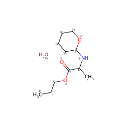 CCCOC(=O)C(C)NC1CCCCO1.O